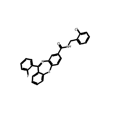 O=C(NCc1ccccc1Cl)c1ccc2c(c1)N=C(c1ccccc1F)c1ccccc1S2